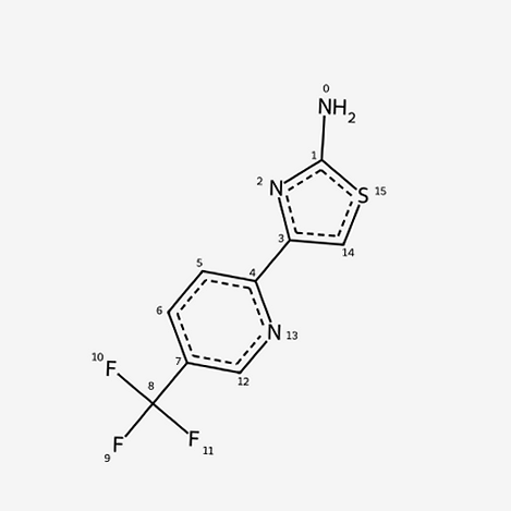 Nc1nc(-c2ccc(C(F)(F)F)cn2)cs1